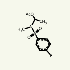 CC(=O)OC(C)N(C)S(=O)(=O)c1ccc(F)cc1